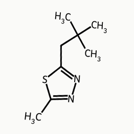 Cc1nnc(CC(C)(C)C)s1